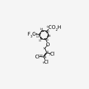 O=C(O)c1cc(OCC(Cl)=C(Cl)Cl)cc(C(F)(F)F)c1